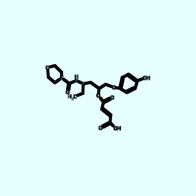 CCN(CC(COc1ccc(O)cc1)OC(=O)/C=C/C(=O)O)NC(=O)N1CCOCC1